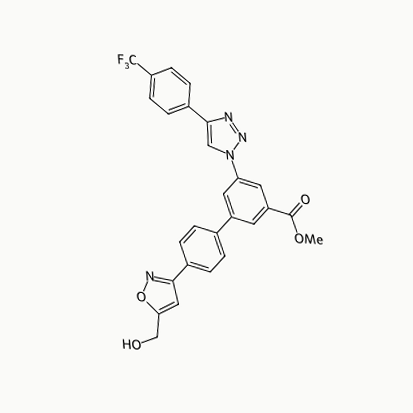 COC(=O)c1cc(-c2ccc(-c3cc(CO)on3)cc2)cc(-n2cc(-c3ccc(C(F)(F)F)cc3)nn2)c1